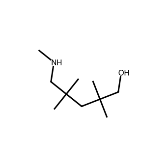 CNCC(C)(C)CC(C)(C)CO